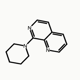 c1cnc2c(N3CCCCC3)nccc2c1